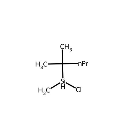 CCCC(C)(C)[SiH](C)Cl